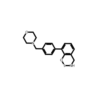 c1cc2c(c(-c3ccc(CN4CCOCC4)cc3)c1)OSNC2